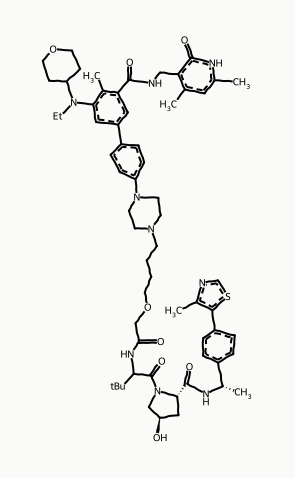 CCN(c1cc(-c2ccc(N3CCN(CCCCOCC(=O)NC(C(=O)N4C[C@H](O)C[C@H]4C(=O)N[C@@H](C)c4ccc(-c5scnc5C)cc4)C(C)(C)C)CC3)cc2)cc(C(=O)NCc2c(C)cc(C)[nH]c2=O)c1C)C1CCOCC1